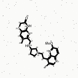 COc1ccc2ncc(F)c(CCN3CCC(NCc4nc5c(cc4C)SCC(=O)N5)C3)c2n1